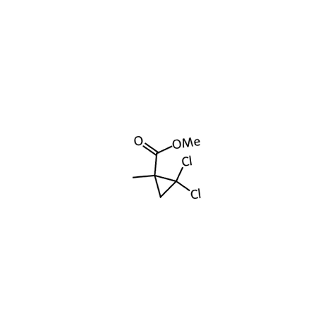 COC(=O)C1(C)CC1(Cl)Cl